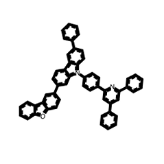 c1ccc(-c2cc(-c3ccccc3)nc(-c3ccc(-n4c5ccc(-c6ccccc6)cc5c5ccc(-c6ccc7oc8ccccc8c7c6)cc54)cc3)c2)cc1